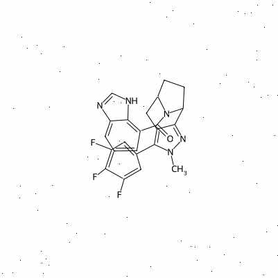 Cn1nc2c(c1-c1cc(F)c(F)c(F)c1)CC1CCC2N1C(=O)c1cccc2nc[nH]c12